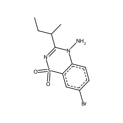 CCC(C)C1=NS(=O)(=O)c2cc(Br)ccc2N1N